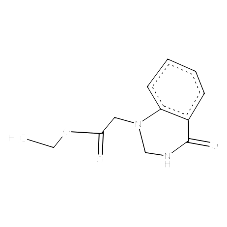 CCOC(=O)CN1CNC(=O)c2ccccc21